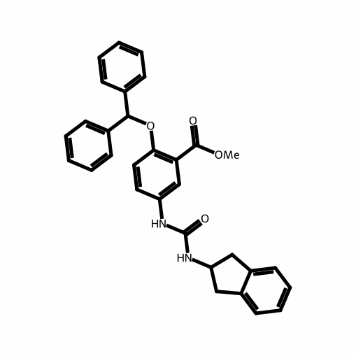 COC(=O)c1cc(NC(=O)NC2Cc3ccccc3C2)ccc1OC(c1ccccc1)c1ccccc1